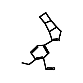 CCc1ccc(C2=NCC3C4CCC4C23)cc1C=O